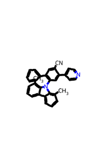 Cc1cccc2c3cccc(C)c3n(-c3cc(-c4ccncc4)c(C#N)cc3-c3ccccc3)c12